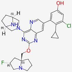 Oc1cc(Cl)c(C2CC2)c(-c2cnc3c(N4C[C@H]5CC[C@@H](C4)N5)nc(OC[C@@]45CCCN4C[C@H](F)C5)nc3c2)c1